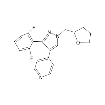 Fc1cccc(F)c1-c1nn(CC2CCCO2)cc1-c1ccncc1